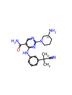 CC(C)(C#N)c1cccc(Nc2nc(N3CCC[C@H](N)C3)ncc2C(N)=O)c1